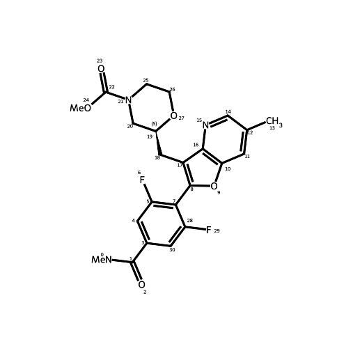 CNC(=O)c1cc(F)c(-c2oc3cc(C)cnc3c2C[C@H]2CN(C(=O)OC)CCO2)c(F)c1